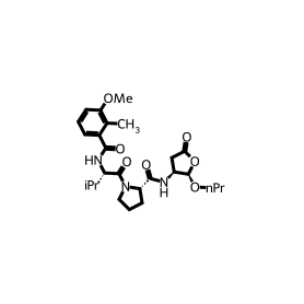 CCCO[C@@H]1OC(=O)C[C@@H]1NC(=O)[C@@H]1CCCN1C(=O)[C@@H](NC(=O)c1cccc(OC)c1C)C(C)C